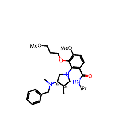 COCCCOc1c(OC)ccc(C(=O)NC(C)C)c1N1C[C@@H](C)[C@@H](N(C)Cc2ccccc2)C1